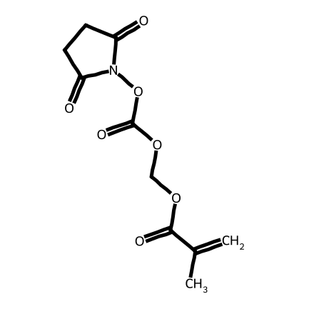 C=C(C)C(=O)OCOC(=O)ON1C(=O)CCC1=O